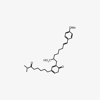 COc1ccc(/C=C/CCCCC(CC2=CC(CCCCCC(=O)N(C)C)=CCC2=O)C(=O)O)cc1